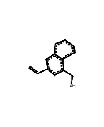 C=Cc1cc(CO)c2ccccc2c1